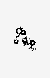 CNC(=O)c1cccc(F)c1Nc1nc(Nc2ccc3c(c2)N(CCN2CCCC2)CCCC3(C)C)ncc1Cl